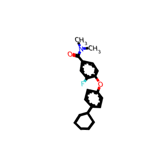 CN(C)C(=O)c1ccc(Oc2ccc(C3CCCCC3)cc2)c(F)c1